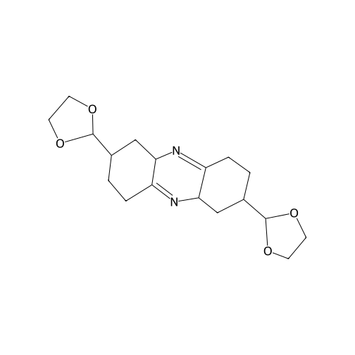 C1COC(C2CCC3=NC4CC(C5OCCO5)CCC4=NC3C2)O1